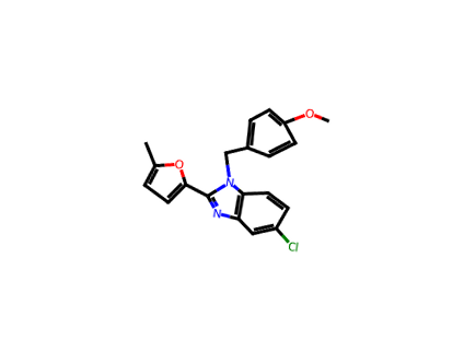 COc1ccc(Cn2c(-c3ccc(C)o3)nc3cc(Cl)ccc32)cc1